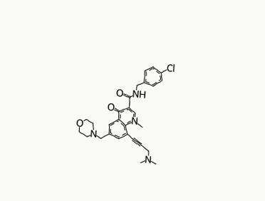 CN(C)CC#Cc1cc(CN2CCOCC2)cc2c(=O)c(C(=O)NCc3ccc(Cl)cc3)cn(C)c12